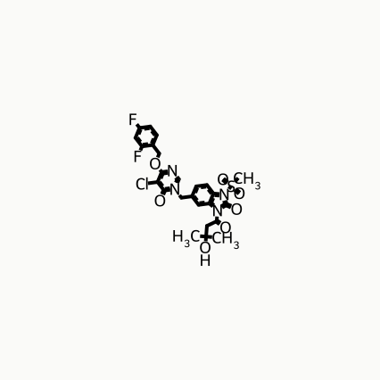 CC(C)(O)CC(=O)n1c(=O)n(S(C)(=O)=O)c2ccc(Cn3cnc(OCc4ccc(F)cc4F)c(Cl)c3=O)cc21